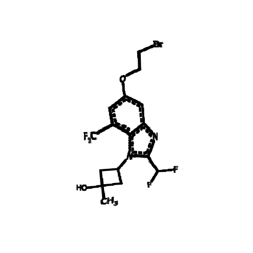 CC1(O)CC(n2c(C(F)F)nc3cc(OCCBr)cc(C(F)(F)F)c32)C1